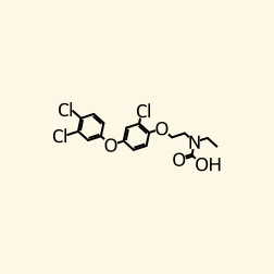 CCN(CCOc1ccc(Oc2ccc(Cl)c(Cl)c2)cc1Cl)C(=O)O